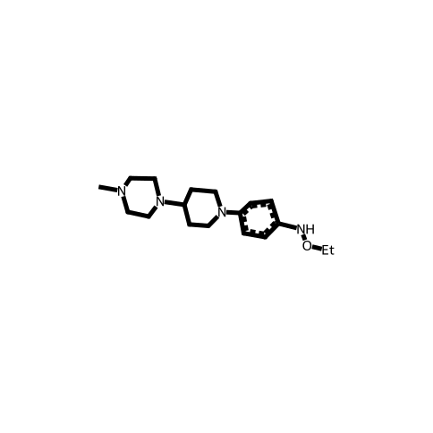 CCONc1ccc(N2CCC(N3CCN(C)CC3)CC2)cc1